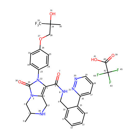 CC1Cn2c(c(C(=O)NCc3ccccc3-c3cccnn3)n(-c3ccc(OCC(C)(O)C(F)(F)F)cc3)c2=O)CN1.O=C(O)C(F)(F)F